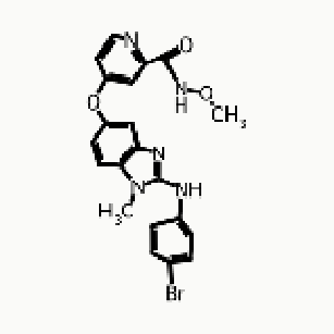 CONC(=O)c1cc(Oc2ccc3c(c2)nc(Nc2ccc(Br)cc2)n3C)ccn1